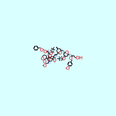 C=C1C[C@@H](C[C@H]2C[C@@H](O[Si](C)(C)C(C)(C)C)C[C@@H](C[C@H](CCO)OCc3ccc(OC)cc3)O2)O[C@@H](/C=C/C(C)(C)[C@](C/C(=C/C(=O)OC)C[C@H](CC)C[C@@H](O[Si](C)(C)C(C)(C)C)[C@@H](C)OCOCc2ccccc2)(OC)C(=O)O[C@H]2CCCOC2)C1